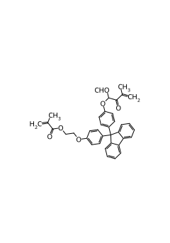 C=C(C)C(=O)OCCOc1ccc(C2(c3ccc(OC(C=O)C(=O)C(=C)C)cc3)c3ccccc3-c3ccccc32)cc1